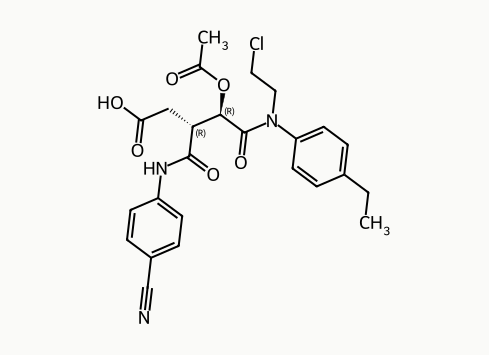 CCc1ccc(N(CCCl)C(=O)[C@H](OC(C)=O)[C@@H](CC(=O)O)C(=O)Nc2ccc(C#N)cc2)cc1